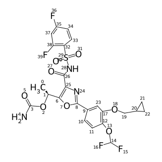 C[C@H](OC(N)=O)c1oc(-c2ccc(OC(F)F)c(OCC3CC3)c2)nc1C(=O)NS(=O)(=O)c1ccc(F)cc1F